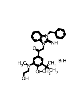 Br.CN(CCO)c1cc(C(=O)Cn2c(=N)n(Cc3ccccc3)c3ccccc32)cc(C(C)(C)C)c1O